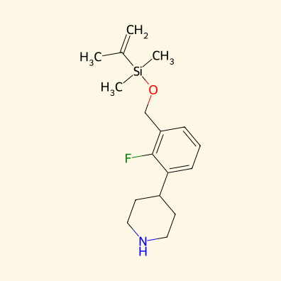 C=C(C)[Si](C)(C)OCc1cccc(C2CCNCC2)c1F